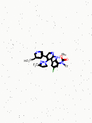 CCN(C(=O)OC(C)(C)C)c1cc(F)cc2c1[nH]c1ncc(-c3cncc(CC(=O)O)c3)c(-n3ccc(C(F)(F)F)n3)c12